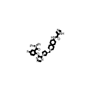 CC(C)N(C(=O)c1cc(F)ccc1Oc1nncnc1N1CC[C@@H](CN2CCC3(CCC(NC(=O)c4cnc[nH]4)CC3)CC2)C1)C(C)C